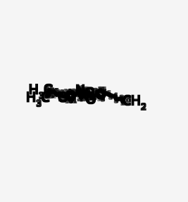 C=CCCCCCc1ccc(C(=O)Oc2cnc(-c3ccc(OCCCC(C)CC)cc3)cn2)cc1